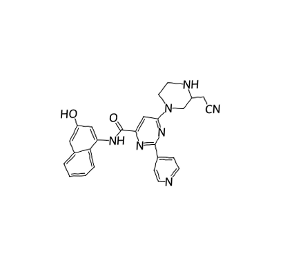 N#CCC1CN(c2cc(C(=O)Nc3cc(O)cc4ccccc34)nc(-c3ccncc3)n2)CCN1